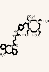 C=C1Cc2ccccc2N(C(=O)CCNC(=S)Nc2ccc(CC3CN(CC(=O)O)CCN(CC(=O)O)CCN(CC(=O)O)CCN3CC(=O)O)cc2)Cc2ccccc21